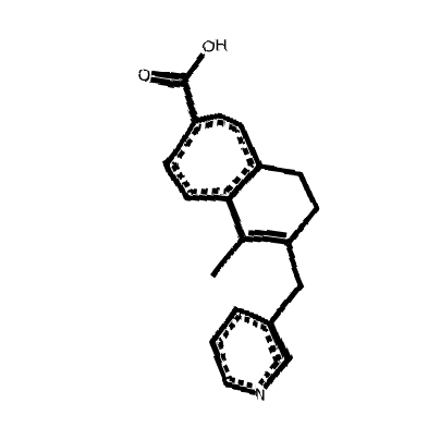 CC1=C(Cc2cccnc2)CCc2cc(C(=O)O)ccc21